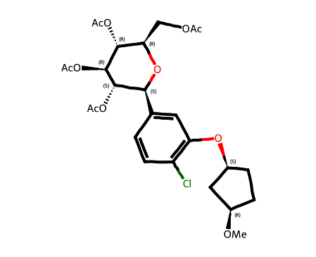 CO[C@@H]1CC[C@H](Oc2cc([C@@H]3O[C@H](COC(C)=O)[C@@H](OC(C)=O)[C@H](OC(C)=O)[C@H]3OC(C)=O)ccc2Cl)C1